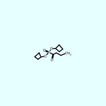 CCCC(=O)P(=O)(OC1CCC1)OC1CCC1